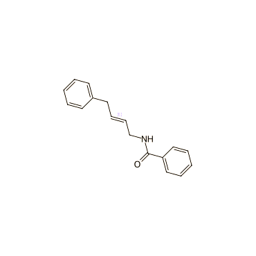 O=C(NC/C=C/Cc1ccccc1)c1ccccc1